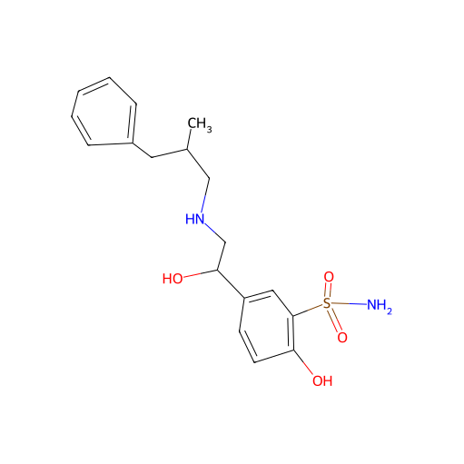 CC(CNCC(O)c1ccc(O)c(S(N)(=O)=O)c1)Cc1ccccc1